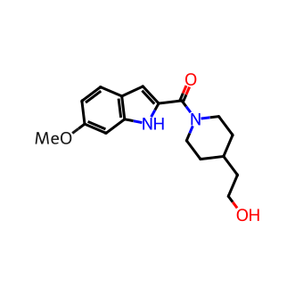 COc1ccc2cc(C(=O)N3CCC(CCO)CC3)[nH]c2c1